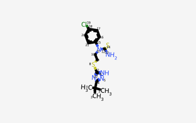 CC(C)(C)c1n[nH]c(SCCN(C(N)=S)c2ccc(Cl)cc2)n1